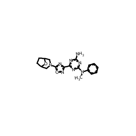 CN(c1ccccc1)c1nc(N)nc(-c2noc(N3CC4CCC(C3)O4)n2)n1